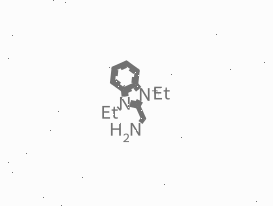 CCn1c(CN)[n+](CC)c2ccccc21